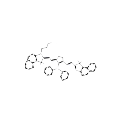 CCCCN1/C(=C/C=C2\CCC(/C=C/C3=Nc4ccc5ccccc5c4C3(C)C)=C2N(c2ccccc2)c2ccccc2)C(C)(C)c2c1ccc1ccccc21